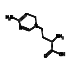 NC1=CCN(CCC(N)C(=O)O)C=N1